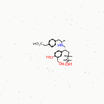 C[C@H](Cc1ccc(CC(=O)O)cc1)NC[C@H](CC(C)(C)[Si](C)(C)O)c1ccc(O)c(CO)c1